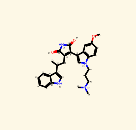 COc1ccc2c(c1)c(C1=C(CC(C)c3c[nH]c4ccccc34)C(=O)NC1=O)cn2CCCN(C)C